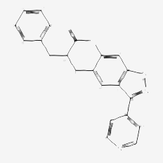 O=C1Oc2cc3[nH]nc(-c4ccncc4)c3cc2CC1Cc1ccccc1